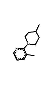 Cc1cncnc1N1CCC(C)CC1